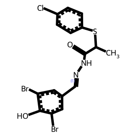 CC(Sc1ccc(Cl)cc1)C(=O)N/N=C/c1cc(Br)c(O)c(Br)c1